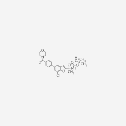 CC(C)(C)OC(=O)NC(C)(C)c1cc2cc(-c3ccc(C(=O)N4CCOCC4)cc3)cc(Cl)c2o1